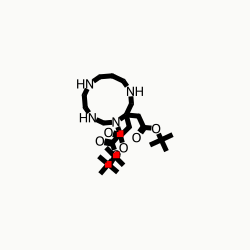 CC(C)(C)OC(=O)CN1CNCCNCCCNCC1(CC(=O)OC(C)(C)C)CC(=O)OC(C)(C)C